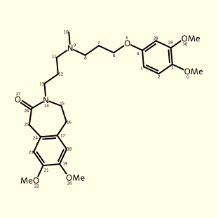 COc1ccc(OCCCN(C)CCCN2CCc3cc(OC)c(OC)cc3CC2=O)cc1OC